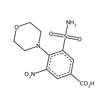 NS(=O)(=O)c1cc(C(=O)O)cc([N+](=O)[O-])c1N1CCOCC1